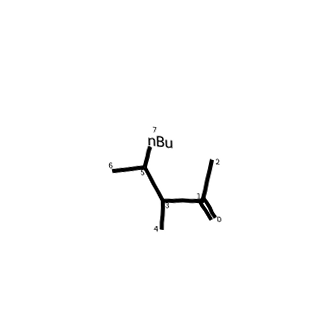 C=C(C)C(C)C(C)CCCC